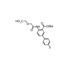 COC(=O)c1cc(-c2ccc(F)cc2)ccc1NC(=O)COCC(=O)O